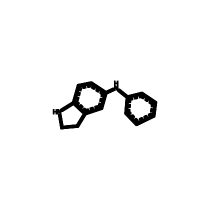 c1ccc(Nc2ccc3c(c2)CCN3)cc1